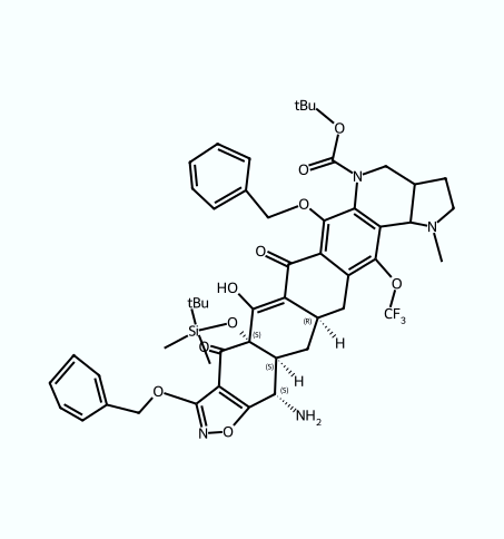 CN1CCC2CN(C(=O)OC(C)(C)C)c3c(OCc4ccccc4)c4c(c(OC(F)(F)F)c3C21)C[C@H]1C[C@H]2[C@H](N)c3onc(OCc5ccccc5)c3C(=O)[C@@]2(O[Si](C)(C)C(C)(C)C)C(O)=C1C4=O